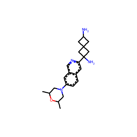 CC1CN(c2ccc3cc(C4(N)CC5(CC(N)C5)C4)ncc3c2)CC(C)O1